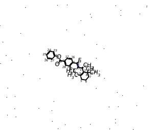 C=C(C1=C(C)CCCC1(C)C)/C(C)=C(\F)c1ccc(C(=O)Oc2ccccc2)cc1CC